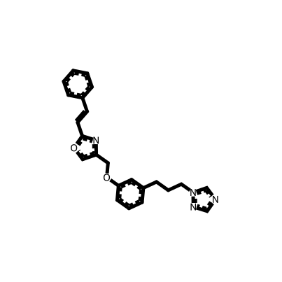 C(=Cc1nc(COc2cccc(CCCn3cncn3)c2)co1)c1ccccc1